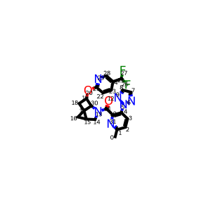 Cc1ccc(-n2nccn2)c(C(=O)N2CC3CC34CC(Oc3ccc(C(F)F)cn3)C24)n1